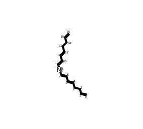 C=CCCC=CC=[CH][Ni][CH]=CC=CCCC=C